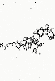 CCCCc1ccc(NC(=O)Nc2[nH]c(Cc3ccc(C(=O)N4CCOCC4)cc3)nc2C(N)=O)cc1